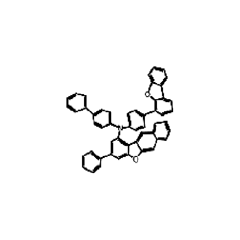 c1ccc(-c2ccc(N(c3ccc(-c4cccc5c4oc4ccccc45)cc3)c3cc(-c4ccccc4)cc4oc5cc6ccccc6cc5c34)cc2)cc1